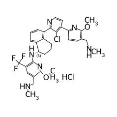 CNCc1ccc(-c2ccnc(-c3cccc4c3CCC[C@@H]4Nc3nc(OC)c(CNC)cc3C(F)(F)F)c2Cl)nc1OC.Cl